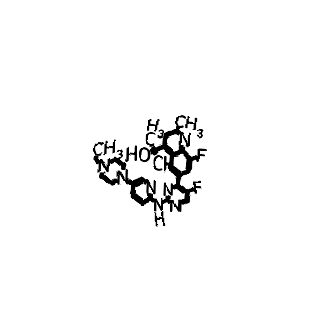 CCN1CCN(c2ccc(Nc3ncc(F)c(-c4cc(F)c5nc(C)cc(C(C)(C)O)c5c4)n3)nc2)CC1